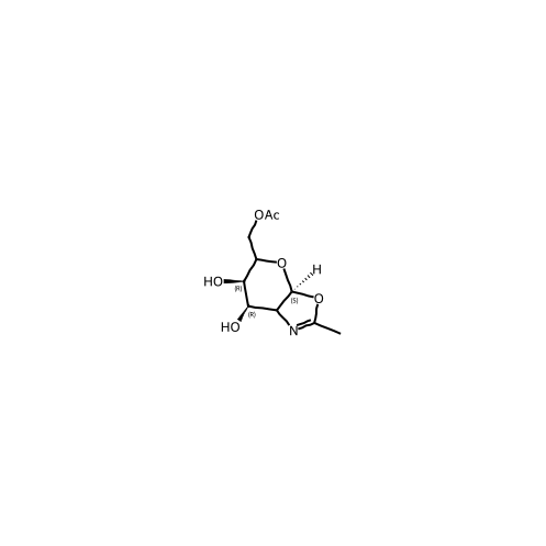 CC(=O)OCC1O[C@H]2OC(C)=NC2[C@@H](O)[C@H]1O